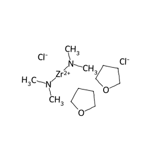 C1CCOC1.C1CCOC1.C[N](C)[Zr+2][N](C)C.[Cl-].[Cl-]